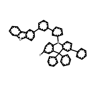 Fc1ccc2c(c1)C(c1ccccc1)(c1ccccc1)c1cc(-c3ccccc3)ccc1N2c1cccc(-c2cccc(-c3ccc4oc5ccccc5c4c3)c2)c1